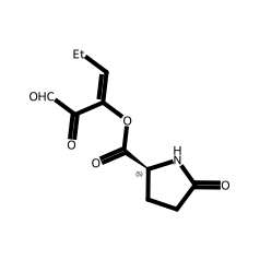 CCC=C(OC(=O)[C@@H]1CCC(=O)N1)C(=O)C=O